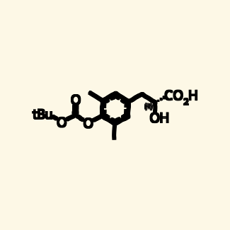 Cc1cc(C[C@@H](O)C(=O)O)cc(C)c1OC(=O)OC(C)(C)C